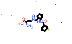 NC(CCNCc1ccccc1NC(=O)c1cccc(F)c1)C(=O)O